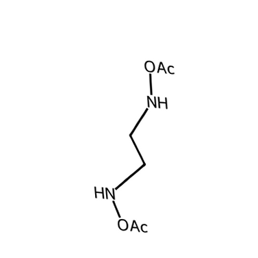 CC(=O)ONCCNOC(C)=O